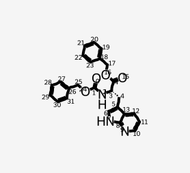 O=C(N[C@@H](Cc1c[nH]c2ncccc12)C(=O)OCc1ccccc1)OCc1ccccc1